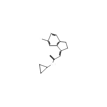 O=C(/C=C1/CCc2ccc(F)cc21)NC1CC1